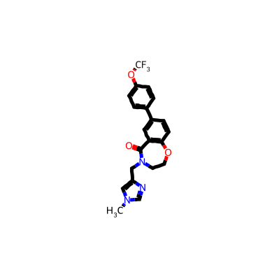 Cn1cnc(CN2CCOc3ccc(-c4ccc(OC(F)(F)F)cc4)cc3C2=O)c1